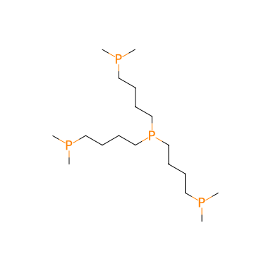 CP(C)CCCCP(CCCCP(C)C)CCCCP(C)C